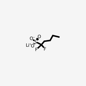 CCCCC(F)(F)S(=O)(=O)[O-].[Li+]